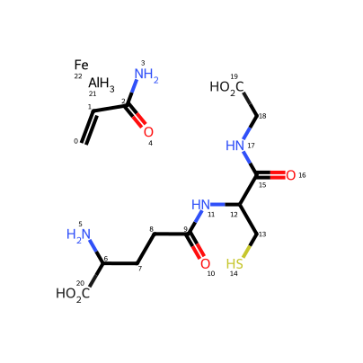 C=CC(N)=O.NC(CCC(=O)NC(CS)C(=O)NCC(=O)O)C(=O)O.[AlH3].[Fe]